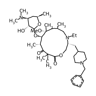 CCN1C[C@H](C)C[C@@](C)(OC)[C@H](O[C@@H]2O[C@H](C)C[C@H](N(C)C)[C@H]2O)[C@@H](C)C(=O)C(C)(C)C(=O)OC[C@H]1CC1CCN(Cc2ccccc2)CC1